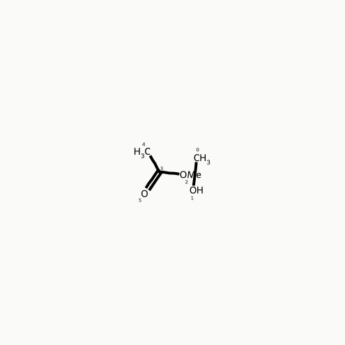 CO.COC(C)=O